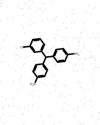 Nc1ccc(C(c2ccc(N)cc2)c2cccc(Cl)c2)cc1